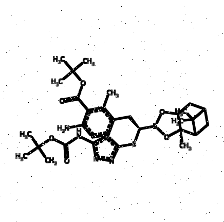 Cc1c(C[C@H](Sc2nnc(NC(=O)OC(C)(C)C)s2)B2OC3CC4CC(C4(C)C)[C@]3(C)O2)ccc(N)c1C(=O)OC(C)(C)C